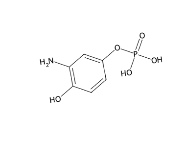 Nc1cc(OP(=O)(O)O)ccc1O